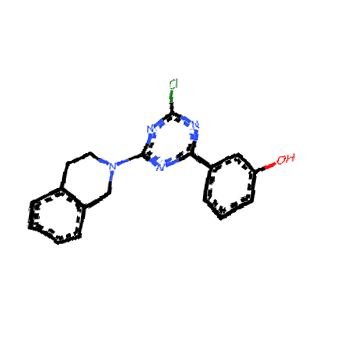 Oc1cccc(-c2nc(Cl)nc(N3CCc4ccccc4C3)n2)c1